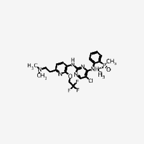 CN(C)CCc1ccc(Nc2ncc(Cl)c(Nc3ccccc3P(C)(C)=O)n2)c(OCC(F)(F)F)n1